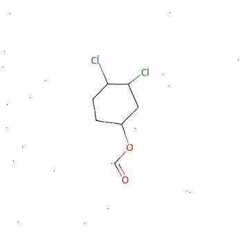 O=[C]OC1CCC(Cl)C(Cl)C1